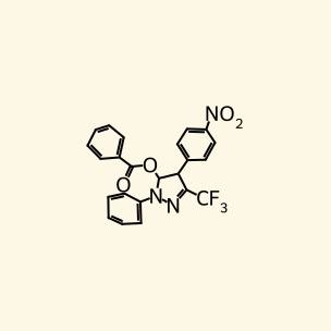 O=C(OC1C(c2ccc([N+](=O)[O-])cc2)C(C(F)(F)F)=NN1c1ccccc1)c1ccccc1